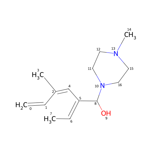 C=C/C(C)=C\C(=C/C)C(O)N1CCN(C)CC1